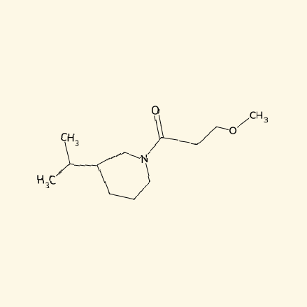 COCCC(=O)N1CCCC(C(C)C)C1